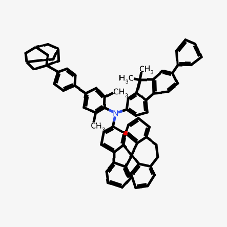 Cc1cc(-c2ccc(C34CC5CC(CC(C5)C3)C4)cc2)cc(C)c1N(c1ccc2c(c1)C(C)(C)c1cc(-c3ccccc3)ccc1-2)c1ccc2c(c1)C1(c3ccccc3CCc3ccccc31)c1ccccc1-2